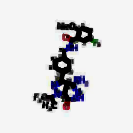 COc1ccc(F)cc1C(=O)NCc1ccc(-c2nn(C(C)C(F)(F)F)c3c(=O)[nH]nc(N)c23)cc1